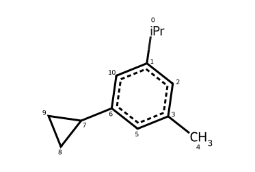 [CH2]C(C)c1cc(C)cc(C2CC2)c1